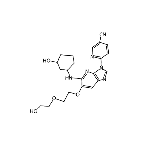 N#Cc1ccc(-n2cnc3cc(OCCOCCO)c(NC4CCCC(O)C4)nc32)nc1